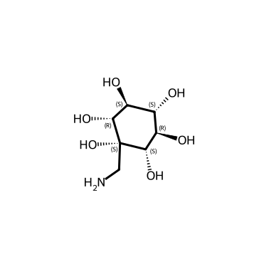 NC[C@@]1(O)[C@H](O)[C@@H](O)[C@H](O)[C@@H](O)[C@@H]1O